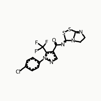 O=C(N=C1SSC2=NCCN21)c1cnn(-c2ccc(Cl)cc2)c1C(F)(F)F